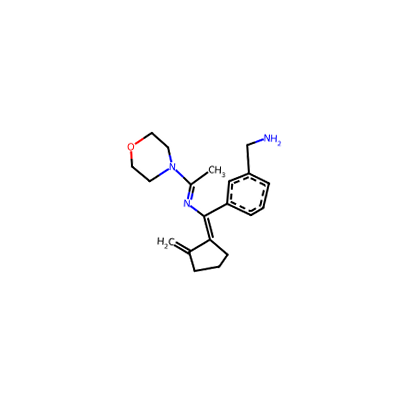 C=C1CCC/C1=C(/N=C(\C)N1CCOCC1)c1cccc(CN)c1